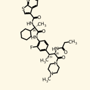 CCC(=O)N[C@@H](C(=O)N1CCN(C)CC1)[C@@H](C)c1ccc(NC(=O)[C@](C)(NC(=O)c2csc3ncccc23)C2CCCCC2)c(F)c1